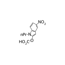 CCCn1c(OC(=O)O)cc2cc([N+](=O)[O-])ccc21